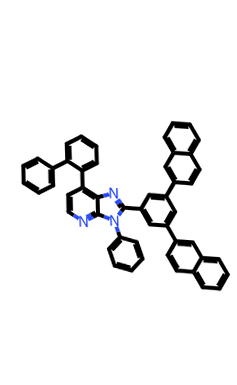 c1ccc(-c2ccccc2-c2ccnc3c2nc(-c2cc(-c4ccc5ccccc5c4)cc(-c4ccc5ccccc5c4)c2)n3-c2ccccc2)cc1